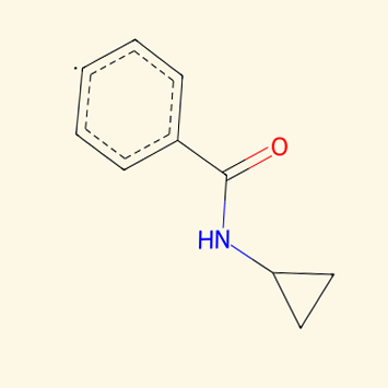 O=C(NC1CC1)c1cc[c]cc1